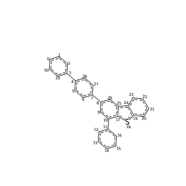 c1ccc(-c2ccc(-c3cc(-c4ccccc4)c4sc5ccccc5c4c3)cc2)cc1